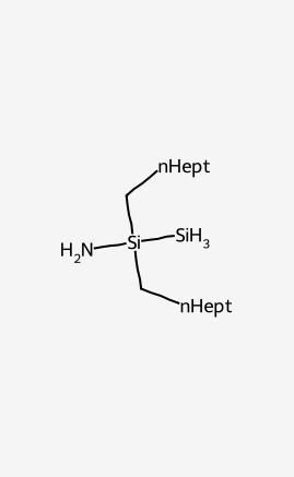 CCCCCCCC[Si](N)([SiH3])CCCCCCCC